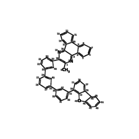 Cc1nc2c3ccccc3c3ccccc3c2nc1-c1cccc(-c2cccc(-c3cccc(-c4cccc5c4oc4ccccc45)c3)c2)c1